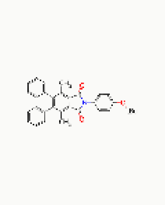 Cc1c2c(c(C)c(-c3ccccc3)c1-c1ccccc1)C(=O)N(c1ccc(OC(C)(C)C)cc1)C2=O